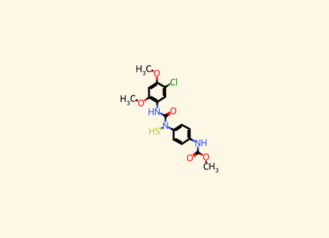 COC(=O)Nc1ccc(N(S)C(=O)Nc2cc(Cl)c(OC)cc2OC)cc1